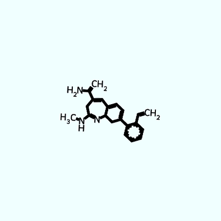 C=Cc1ccccc1C1=CC=C2C=C(C(=C)N)CC(NC)=NC2C1